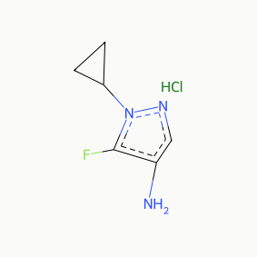 Cl.Nc1cnn(C2CC2)c1F